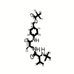 CC(C)[C@H](NC(C)(C)C)C(=O)N[C@@H](C)C(=O)Nc1ccc(COC(=O)C(C)(C)C)cc1